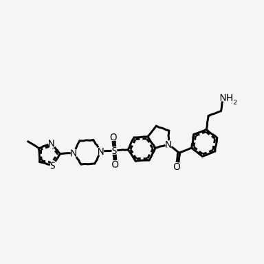 Cc1csc(N2CCN(S(=O)(=O)c3ccc4c(c3)CCN4C(=O)c3cccc(CCN)c3)CC2)n1